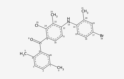 Cc1ccc(C)c(C(=O)c2ccc(Nc3ccc(Br)cc3C)c(C)c2Cl)c1